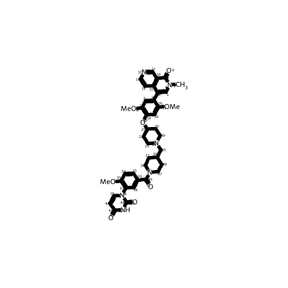 COc1cc(-c2cn(C)c(=O)c3cnccc23)c(OC)cc1OC1CCN(CC2CCN(C(=O)c3ccc(OC)c(-n4ccc(=O)[nH]c4=O)c3)CC2)CC1